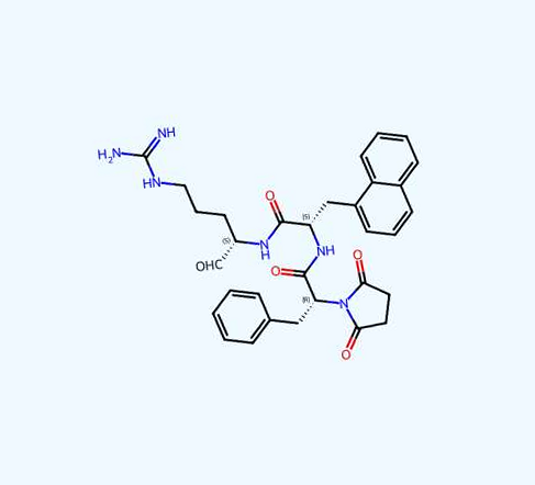 N=C(N)NCCC[C@@H](C=O)NC(=O)[C@H](Cc1cccc2ccccc12)NC(=O)[C@@H](Cc1ccccc1)N1C(=O)CCC1=O